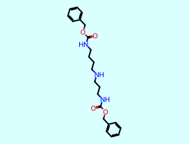 O=C(NCCCCNCCCNC(=O)OCc1ccccc1)OCc1ccccc1